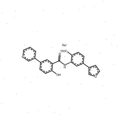 O=C(Nc1cc(-c2ccoc2)ccc1C(=O)[O-])c1cc(-c2cccnc2)ccc1O.[Na+]